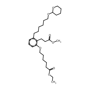 CCOC(=O)CCCCCOc1cccc(CCCCCCOC2CCCCO2)c1CCC(=O)OC